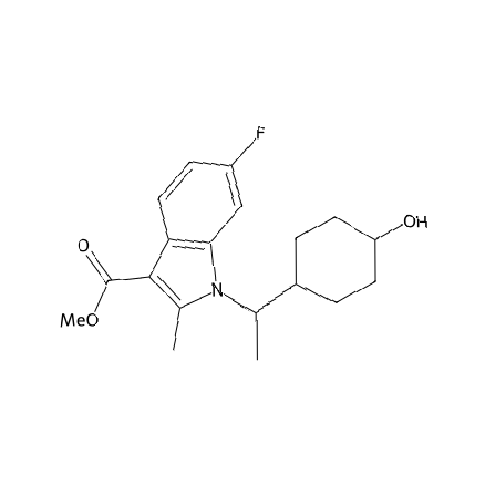 COC(=O)c1c(C)n(C(C)C2CCC(O)CC2)c2cc(F)ccc12